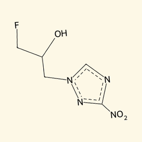 O=[N+]([O-])c1ncn(CC(O)CF)n1